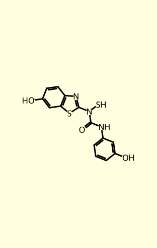 O=C(Nc1cccc(O)c1)N(S)c1nc2ccc(O)cc2s1